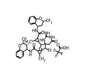 CCC(C1C(C)C1C(=O)N[C@@H]1C[C@H](C(F)(F)F)Oc2ccccc21)C1(C(CC)C2C(C)C2C(=O)N[C@@H]2C[C@H](C(F)(F)F)Oc3ccccc32)CC(=O)NC(=N)N1.O=C(O)C(F)(F)F